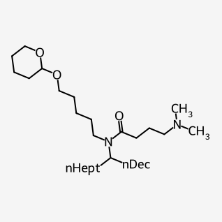 CCCCCCCCCCC(CCCCCCC)N(CCCCCOC1CCCCO1)C(=O)CCCN(C)C